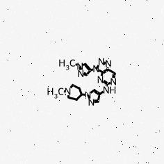 CN1CCC(n2cc(Nc3ncc4nnn(-c5cnn(C)c5)c4n3)cn2)CC1